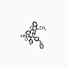 CC[C@@H](NC(=O)c1ccc2c(c1)C(=C(Nc1ccc(CN3CCCC3)cc1)c1ccsc1)C(=O)N2)c1ccccc1